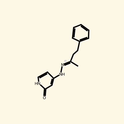 C/C(CCc1ccccc1)=N\Nc1cc[nH]c(=O)c1